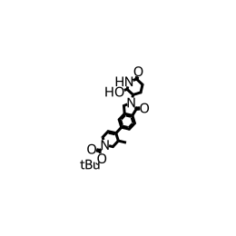 CC1CN(C(=O)OC(C)(C)C)CC=C1c1ccc2c(c1)CN(C1CCC(=O)NC1O)C2=O